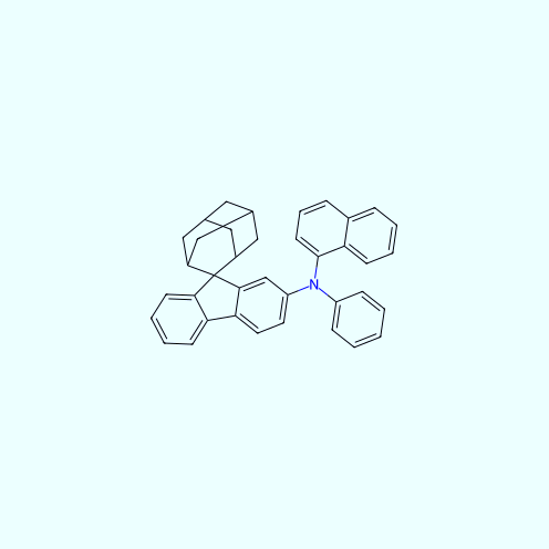 c1ccc(N(c2ccc3c(c2)C2(c4ccccc4-3)C3CC4CC(C3)CC2C4)c2cccc3ccccc23)cc1